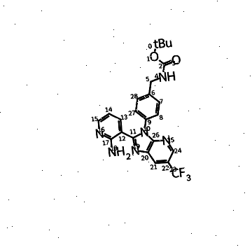 CC(C)(C)OC(=O)NCc1ccc(-n2c(-c3cccnc3N)nc3cc(C(F)(F)F)cnc32)cc1